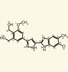 COc1cc(-c2cc(-c3nc4cc(C)c(Cl)cc4[nH]3)[nH]n2)cc(CO)c1CO